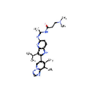 C/C(=N/c1ccc2[nH]c(-c3cn4ncnc4c(C)c3C)c(C(C)C)c2n1)NC(=O)CCN(C)C